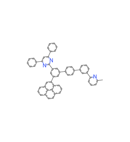 Cc1cccc(-c2cccc(-c3ccc(-c4cc(-c5nc(-c6ccccc6)cc(-c6ccccc6)n5)cc(-c5cc6cccc7ccc8cccc5c8c76)c4)cc3)c2)n1